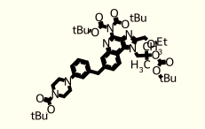 CCOCc1nc2c(N(C(=O)OC(C)(C)C)C(=O)OC(C)(C)C)nc3cc(Cc4cccc(N5CCN(C(=O)OC(C)(C)C)CC5)c4)ccc3c2n1CC(C)(C)OC(=O)OC(C)(C)C